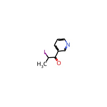 CC(I)C(=O)c1cccnc1